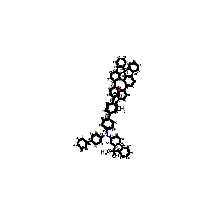 C=Cc1ccc(-c2ccc3c(c2)C2(c4ccccc4-3)c3ccccc3-c3ccc(-c4ccc(-c5ccc(-c6ccc(N(c7ccc(-c8ccccc8)cc7)c7ccc8c(c7)C(C)(C)c7ccccc7-8)cc6)cc5)cc4)cc32)cc1